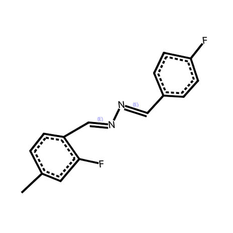 Cc1ccc(/C=N/N=C/c2ccc(F)cc2)c(F)c1